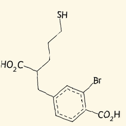 O=C(O)c1ccc(CC(CCCS)C(=O)O)cc1Br